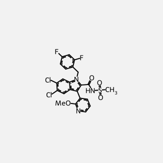 COc1ncccc1-c1c(C(=O)NS(C)(=O)=O)n(Cc2ccc(F)cc2F)c2cc(Cl)c(Cl)cc12